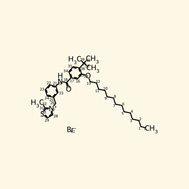 CCCCCCCCCCCCCCOc1cc(C(=O)Nc2cccc(C[n+]3ccsc3C)c2)ccc1C(C)(C)C.[Br-]